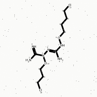 N=C(N)N(N=C(N)NOCCCCCl)OCCCCl